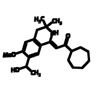 COc1cc2c(cc1C(C)O)C(=CC(=O)C1CCCCCC1)NC(C)(C)C2